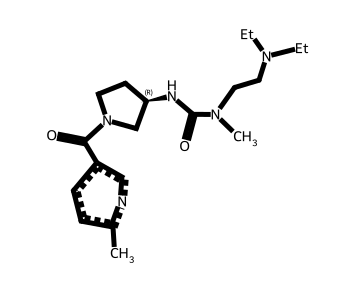 CCN(CC)CCN(C)C(=O)N[C@@H]1CCN(C(=O)c2ccc(C)nc2)C1